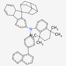 CC1(C)CCC(C)(C)c2c(N(c3ccc(-c4cccc5ccccc45)cc3)c3ccc4c(c3)C3(C5CC6CC(C5)CC3C6)C3C=CC=CC43)cccc21